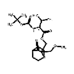 COCC1(COC(=O)[C@@H](NC(=O)OC(C)(C)C)C(C)C)C(=O)C2CCN1CC2